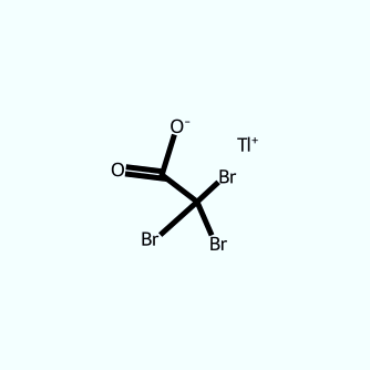 O=C([O-])C(Br)(Br)Br.[Tl+]